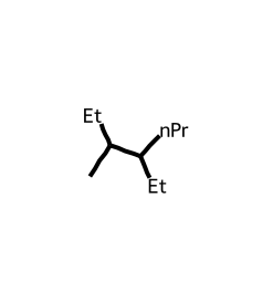 [CH2]CC(C)C(CC)CCC